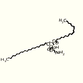 CCCCC/C=C\C/C=C\CCCCCCCC(=O)O[C@H](COCCCCCCCCCCCCCCCCCCCC)COP(=O)(O)OCCN